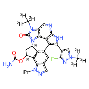 [2H]C([2H])([2H])n1cc(-c2[nH]c3ncc4c(c3c2-c2ccc3c(cnn3C(C)C)c2)n([C@@H]2CC[C@@H](OC(N)=O)C2)c(=O)n4C([2H])([2H])[2H])c(F)n1